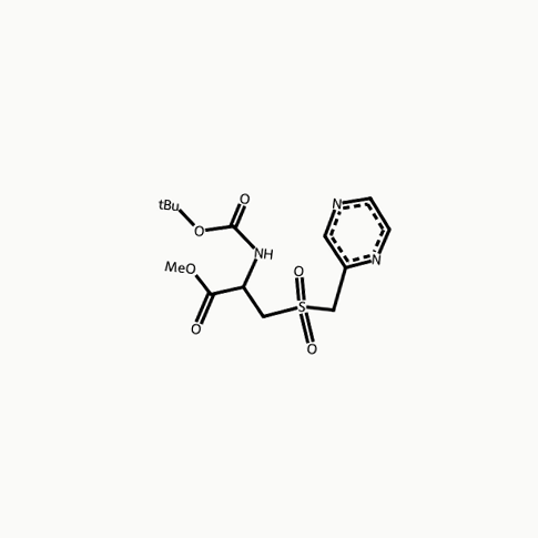 COC(=O)C(CS(=O)(=O)Cc1cnccn1)NC(=O)OC(C)(C)C